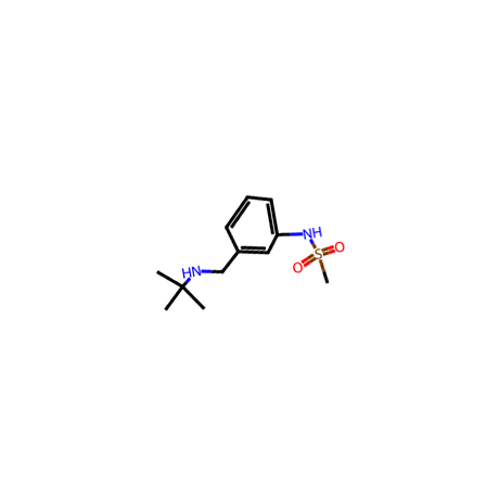 CC(C)(C)NCc1cccc(NS(C)(=O)=O)c1